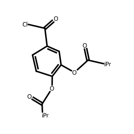 CC(C)C(=O)Oc1ccc(C(=O)Cl)cc1OC(=O)C(C)C